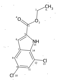 CCOC(=O)c1cc2cc(Cl)cc(Cl)c2[nH]1